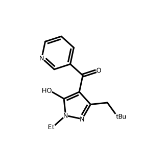 CCn1nc(CC(C)(C)C)c(C(=O)c2cccnc2)c1O